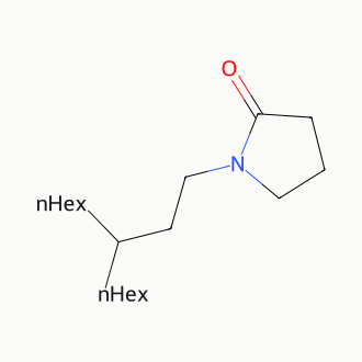 CCCCCCC(CCCCCC)CCN1CCCC1=O